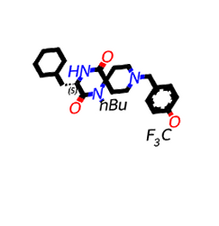 CCCCN1C(=O)[C@H](CC2CCCCC2)NC(=O)C12CCN(Cc1ccc(OC(F)(F)F)cc1)CC2